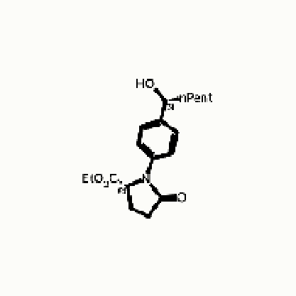 CCCCC[C@H](O)c1ccc(N2C(=O)CC[C@@H]2C(=O)OCC)cc1